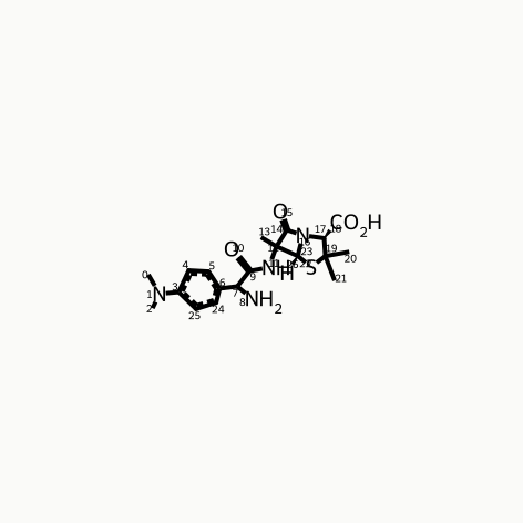 CN(C)c1ccc(C(N)C(=O)NC2(C)C(=O)N3[C@@H](C(=O)O)C(C)(C)S[C@@H]32)cc1